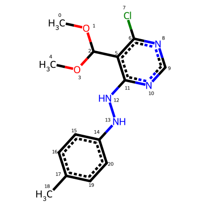 COC(OC)c1c(Cl)ncnc1NNc1ccc(C)cc1